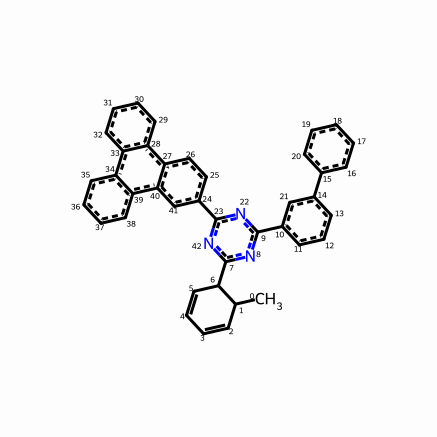 CC1C=CC=CC1c1nc(-c2cccc(-c3ccccc3)c2)nc(-c2ccc3c4ccccc4c4ccccc4c3c2)n1